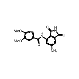 COc1ccc(C(=O)Nc2cc(N)cc3c2C(=O)NC3=O)cc1OC